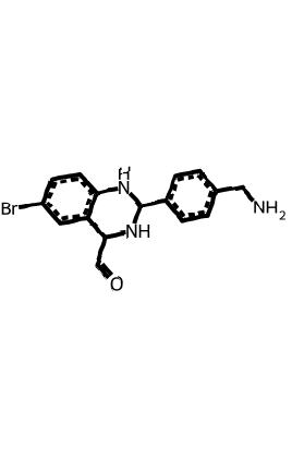 NCc1ccc(C2Nc3ccc(Br)cc3C(C=O)N2)cc1